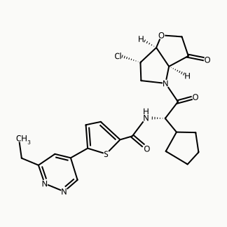 CCc1cc(-c2ccc(C(=O)N[C@H](C(=O)N3C[C@H](Cl)[C@H]4OCC(=O)[C@H]43)C3CCCC3)s2)cnn1